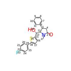 CN1C(=O)CC(c2ccccc2)C1C(O)c1ccc(-c2ccc(F)cc2)s1